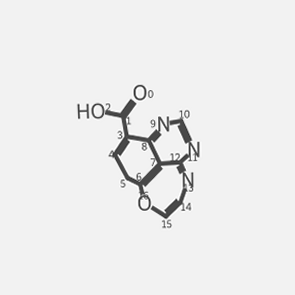 O=C(O)C1=CCC2=c3c1ncnc3=NC=CO2